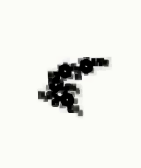 CNc1ccc(NSc2ccc(Nc3ncc4c(n3)N(C)c3ccc(C)cc3C(=O)N4C)cc2)cc1